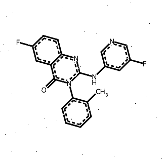 Cc1ccccc1-n1c(Nc2cncc(F)c2)nc2ccc(F)cc2c1=O